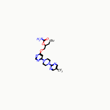 CC(C)(C)CC(COc1cc(N2CCN(c3ncc(C(F)(F)F)cn3)CC2)ncn1)OC(N)=O